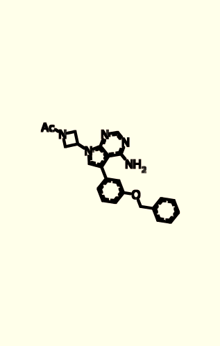 CC(=O)N1CC(n2cc(-c3cccc(OCc4ccccc4)c3)c3c(N)ncnc32)C1